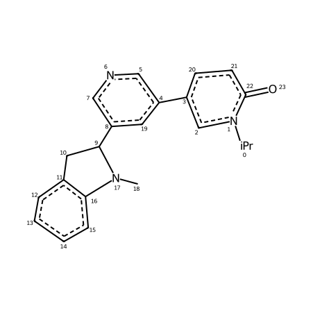 CC(C)n1cc(-c2cncc(C3Cc4ccccc4N3C)c2)ccc1=O